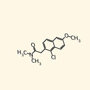 COc1ccc2c(Cl)c(CC(=O)N(C)C)ccc2c1